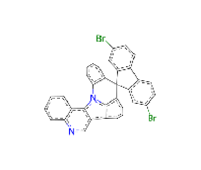 Brc1ccc2c(c1)C1(c3cc(Br)ccc3-2)c2ccccc2-n2c3c1cccc3c1cnc3ccccc3c12